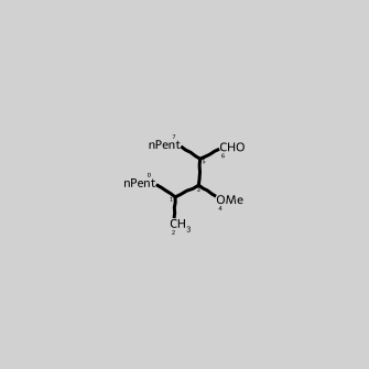 CCCCCC(C)C(OC)C(C=O)CCCCC